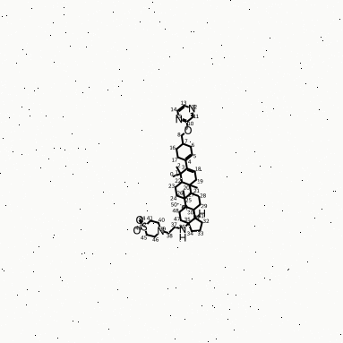 CC1(C)C(C2=CCC(COc3cnccn3)CC2)=CCC2(C)C1CCC1(C)C2CCC2[C@H]3CCCC3(NCCN3CCS(=O)(=O)CC3)CC[C@]21C